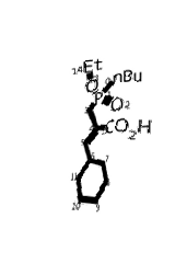 CCCCP(=O)(C/C(=C/C1CCCCC1)C(=O)O)OCC